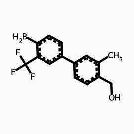 Bc1ccc(-c2ccc(CO)c(C)c2)cc1C(F)(F)F